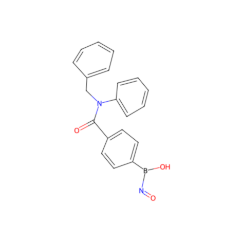 O=NB(O)c1ccc(C(=O)N(Cc2ccccc2)c2ccccc2)cc1